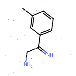 Cc1cccc(C(=N)CN)c1